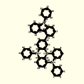 c1ccc(N2c3ccccc3B3c4cc(-c5cccc6c5c5ccccc5n6-c5ccccc5)ccc4N(c4ccccc4)c4cccc2c43)cc1